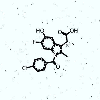 Cc1c([C@@H](C)C(=O)O)c2cc(O)c(F)cc2n1C(=O)c1ccc(Cl)cc1